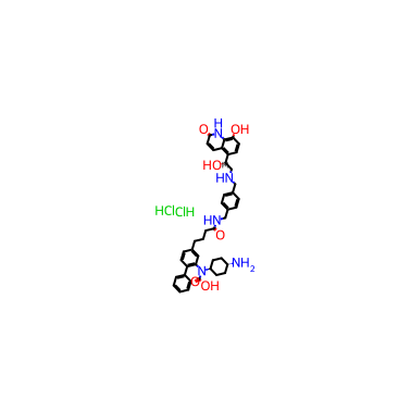 Cl.Cl.N[C@H]1CC[C@H](N(C(=O)O)c2cc(CCCC(=O)NCc3ccc(CNC[C@H](O)c4ccc(O)c5[nH]c(=O)ccc45)cc3)ccc2-c2ccccc2)CC1